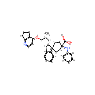 C[C@@H](COc1ccnc2c1CCC2)CC1Cc2ccccc2C12CCC(Nc1ccccc1)(C(=O)O)CC2